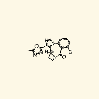 Cc1nnc(-c2ncn3c2[C@H]2CCN2C(=O)c2c(Cl)cccc2-3)o1